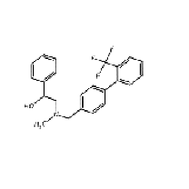 CN(Cc1ccc(-c2ccccc2C(F)(F)F)cc1)CC(O)c1ccccc1